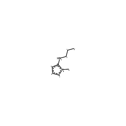 [CH2]CCNc1ccnn1C